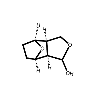 OC1OC[C@H]2[C@@H]1[C@H]1CC[C@@H]2O1